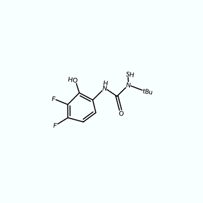 CC(C)(C)N(S)C(=O)Nc1ccc(F)c(F)c1O